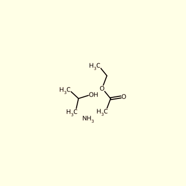 CC(C)O.CCOC(C)=O.N